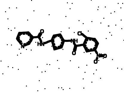 O=C(Nc1ccc(NC(=O)c2cc([N+](=O)[O-])ccc2Cl)cc1)c1cccnc1